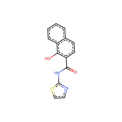 O=C(Nc1nccs1)c1ccc2ccccc2c1O